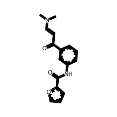 CN(C)/C=C/C(=O)c1cccc(NC(=O)c2ccco2)c1